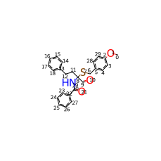 COc1ccc(CSC(C=O)(CCc2ccccc2)NC(=O)c2ccccc2)cc1